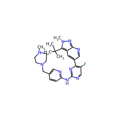 CN1CCN(Cc2ccc(Nc3ncc(F)c(-c4cnc5nn(C)c(C(C)(C)C)c5c4)n3)nc2)CC1